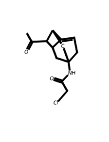 CC(=O)C1C2CC3(NC(=O)CCl)CC=C2C1C3